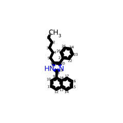 CCCCCCc1[nH]c(-c2cccc3ccccc23)nc1-c1ccccc1